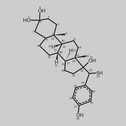 C[C@]12CCC(O)(O)CC1CC[C@@H]1[C@H]2CC[C@@]2(C)[C@H]1CCC2(O)C(S)c1ccc(O)cc1